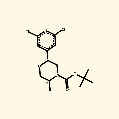 C[C@H]1CO[C@@H](c2cc(Cl)nc(Cl)c2)CN1C(=O)OC(C)(C)C